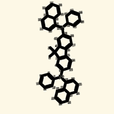 CC1(C)c2cc(N(c3ccccc3)c3cccc4ccccc34)ccc2-c2ccc(N(C3=CC=CC4C=CC=CC34)C3C=CC=CC3)cc21